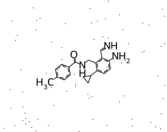 Cc1ccc(C(=O)NCc2c(C3CC3)ccc(N)c2C=N)cc1